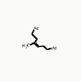 CC(=O)CCC=C(C)CCC(C)=O